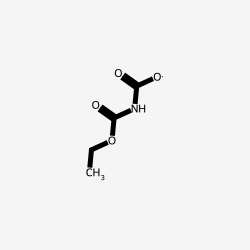 CCOC(=O)NC([O])=O